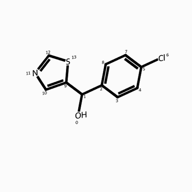 OC(c1ccc(Cl)cc1)c1cncs1